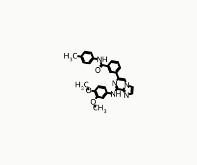 COc1ccc(Nc2nc(-c3cccc(C(=O)Nc4ccc(C)cc4)c3)cn3ccnc23)cc1OC